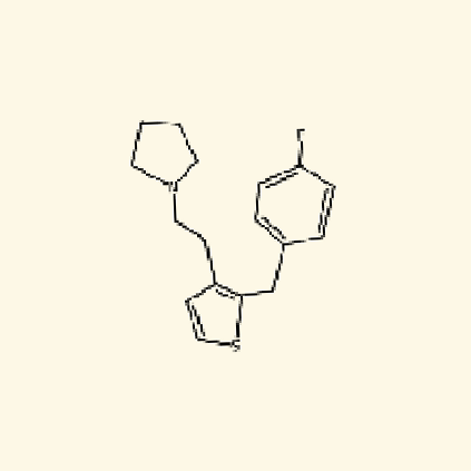 Fc1ccc(Cc2sccc2CCN2CCCC2)cc1